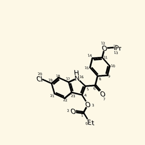 CCC(=O)Oc1c(C(=O)c2ccc(OC(C)C)cc2)[nH]c2cc(Cl)ccc12